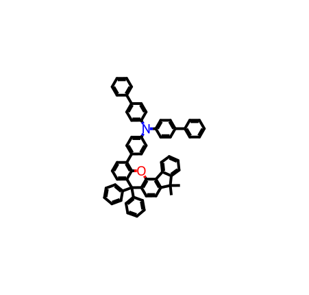 CC1(C)c2ccccc2-c2c1ccc1c2Oc2c(-c3ccc(N(c4ccc(-c5ccccc5)cc4)c4ccc(-c5ccccc5)cc4)cc3)cccc2C1(c1ccccc1)c1ccccc1